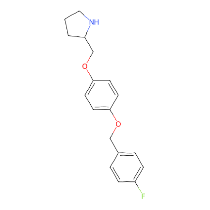 Fc1ccc(COc2ccc(OCC3CCCN3)cc2)cc1